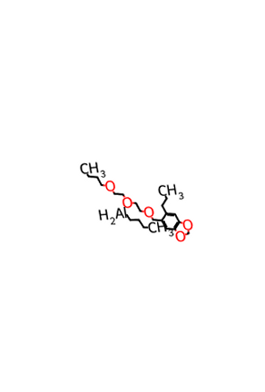 CCCCOCCOCCOCc1cc2c(cc1CCC)OCO2.CCC[CH2][AlH2]